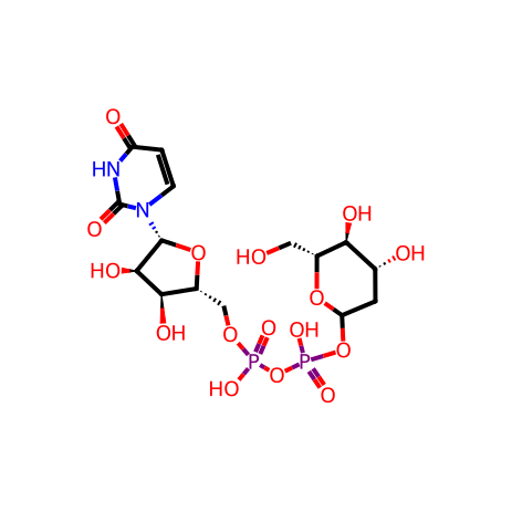 O=c1ccn([C@@H]2O[C@H](COP(=O)(O)OP(=O)(O)OC3C[C@@H](O)[C@H](O)[C@@H](CO)O3)[C@@H](O)[C@H]2O)c(=O)[nH]1